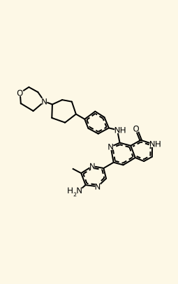 Cc1nc(-c2cc3cc[nH]c(=O)c3c(Nc3ccc(C4CCC(N5CCOCC5)CC4)cc3)n2)cnc1N